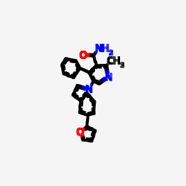 Cc1ncc(-n2ccc3cc(-c4ccco4)ccc32)c(-c2ccccc2)c1C(N)=O